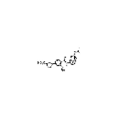 CCCSc1nc(N2CCC(C(=O)O)C2)ccc1C(=O)NC1C2CC3CC1CC(OC(F)F)(C3)C2